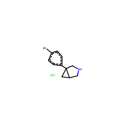 CC(C)c1ccc(C23CNCC2C3)cc1.Cl